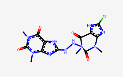 CN1C(=O)[N+](C)(NNc2nc3c([nH]2)c(=O)n(C)c(=O)n3C)C(=O)c2[nH]c(Cl)nc21